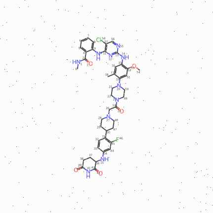 CNC(=O)c1ccccc1Nc1nc(Nc2cc(C)c(N3CCN(C(=O)CN4CCC(c5ccc(NC6CCC(=O)NC6=O)cc5F)CC4)CC3)cc2OC)ncc1Cl